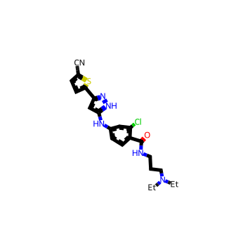 CCN(CC)CCCNC(=O)c1ccc(Nc2cc(-c3ccc(C#N)s3)n[nH]2)cc1Cl